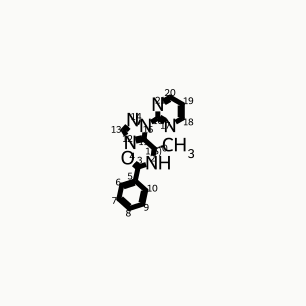 C[C@H](NC(=O)c1ccccc1)c1ncnn1-c1ncccn1